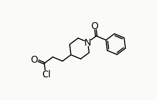 O=C(Cl)CCC1CCN(C(=O)c2ccccc2)CC1